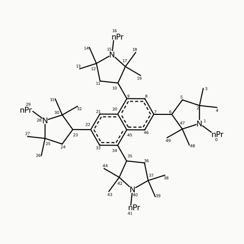 CCCN1C(C)(C)CC(c2cc(C3CC(C)(C)N(CCC)C3(C)C)c3cc(C4CC(C)(C)N(CCC)C4(C)C)cc(C4CC(C)(C)N(CCC)C4(C)C)c3c2)C1(C)C